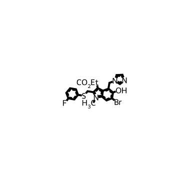 CCOC(=O)c1c(CSc2cccc(F)c2)n(C)c2cc(Br)c(O)c(Cn3ccnc3)c12